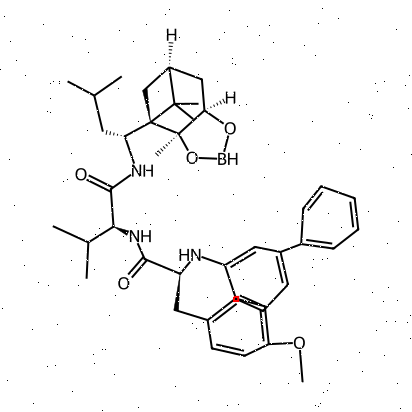 COc1ccc(C[C@H](Nc2cccc(-c3ccccc3)c2)C(=O)N[C@H](C(=O)N[C@H](CC(C)C)[C@@]23C[C@@H](C[C@H]4OBO[C@]42C)C3(C)C)C(C)C)cc1